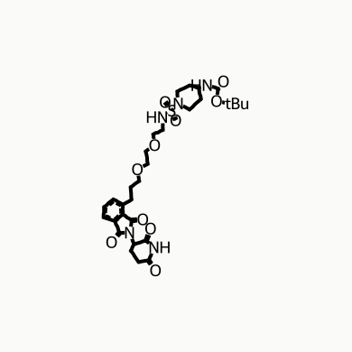 CC(C)(C)OC(=O)NC1CCN(S(=O)(=O)NCCOCCOCCCc2cccc3c2C(=O)N(C2CCC(=O)NC2=O)C3=O)CC1